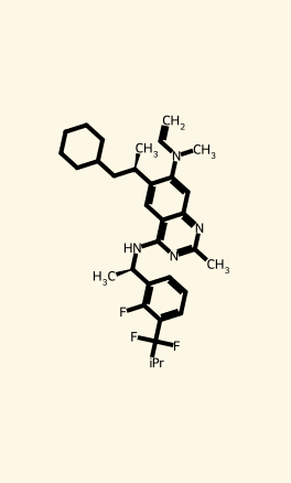 C=CN(C)c1cc2nc(C)nc(N[C@H](C)c3cccc(C(F)(F)C(C)C)c3F)c2cc1[C@H](C)CC1CCCCC1